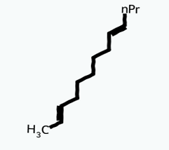 CC=CCCCCCC=CCCC